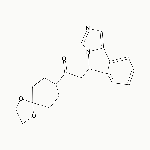 O=C(CC1c2ccccc2-c2cncn21)C1CCC2(CC1)OCCO2